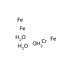 O.O.O.[Cr].[Fe].[Fe].[Fe]